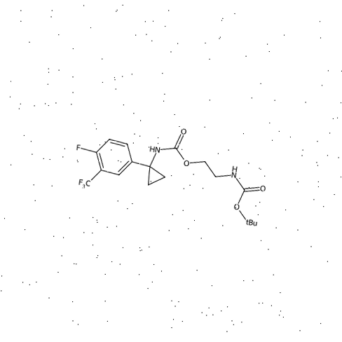 CC(C)(C)OC(=O)NCCOC(=O)NC1(c2ccc(F)c(C(F)(F)F)c2)CC1